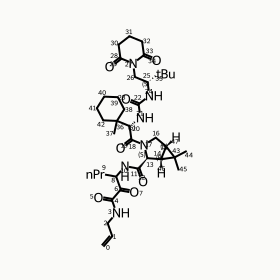 C=CCNC(=O)C(=O)C(CCC)NC(=O)[C@@H]1[C@@H]2[C@H](CN1C(=O)[C@@H](NC(=O)N[C@H](CN1C(=O)CCCC1=O)C(C)(C)C)C1(C)CCCCC1)C2(C)C